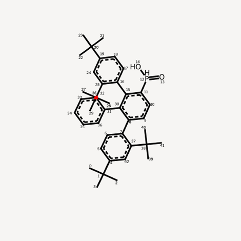 CC(C)(C)c1ccc(-c2ccc([PH](=O)O)c(-c3ccc(C(C)(C)C)cc3C(C)(C)C)c2-c2ccccc2)c(C(C)(C)C)c1